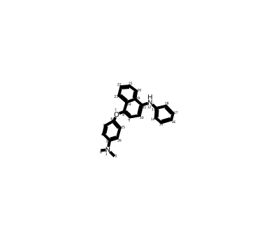 CN(C)c1ccc(Oc2ccc(Nc3ccccc3)c3ccccc23)cc1